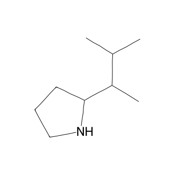 CC(C)C(C)C1CCCN1